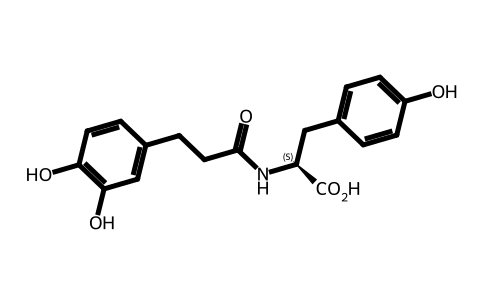 O=C(CCc1ccc(O)c(O)c1)N[C@@H](Cc1ccc(O)cc1)C(=O)O